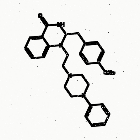 COc1ccc(CC2NC(=O)c3ccccc3N2CCN2CCN(c3ccccc3)CC2)cc1